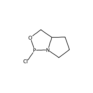 ClP1OCC2CCCN21